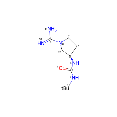 CC(C)(C)NC(=O)N[C@@H]1CCN(C(=N)N)C1